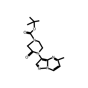 Cc1ccn2ncc(N3CCN(C(=O)OC(C)(C)C)CC3=O)c2n1